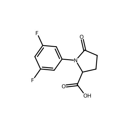 O=C(O)C1CCC(=O)N1c1cc(F)cc(F)c1